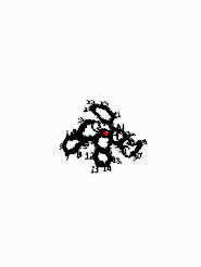 Oc1ccc2ccccc2c1-c1ccccc1-c1nc(-c2ccccc2)nc2ccccc12